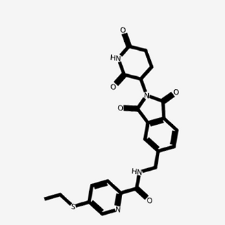 CCSc1ccc(C(=O)NCc2ccc3c(c2)C(=O)N(C2CCC(=O)NC2=O)C3=O)nc1